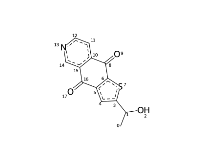 CC(O)c1cc2c(s1)C(=O)c1ccncc1C2=O